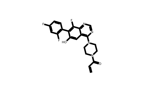 C=CC(=O)N1CCN(c2ncnc3c(F)c(-c4ccc(F)cc4F)c(O)cc23)CC1